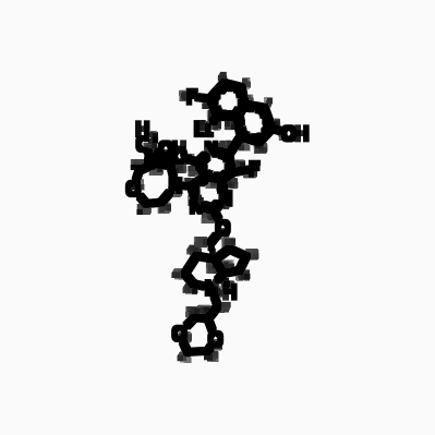 CCc1c(F)ccc2cc(O)cc(-c3nc(OC)c4c(N5CCOC[C@@](C)(O)C5)nc(OC[C@]56CCC[C@H]5N(CC5COCCO5)CCC6)nc4c3F)c12